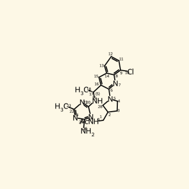 CC(=O)NCC1CCN(c2nc3c(Cl)cccc3cc2[C@H](C)Nc2nc(C)nc(N)n2)C1